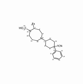 CCC1CCN(C2CCC(C#N)(c3ccccc3)CC2)CCCN1C(=O)O